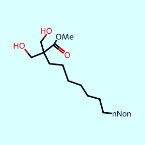 CCCCCCCCCCCCCCCCC(CO)(CO)C(=O)OC